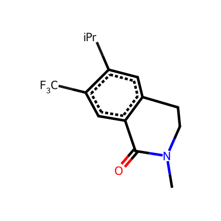 CC(C)c1cc2c(cc1C(F)(F)F)C(=O)N(C)CC2